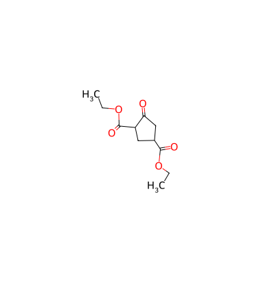 CCOC(=O)C1CC(=O)C(C(=O)OCC)C1